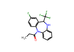 CCC(=O)N1c2ccccc2NC(C(F)(F)F)c2cc(F)ccc21